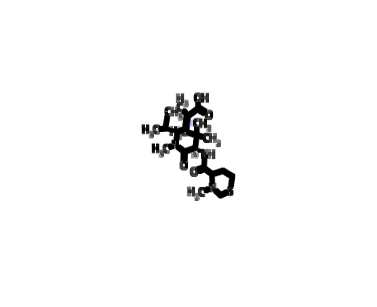 C/C(=C\[C@H](C(C)C)N(C)C(=O)[C@@H](NC(=O)C1CCSCN1C)C(C)(C)C)C(=O)O